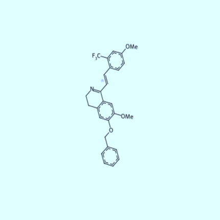 COc1ccc(/C=C/C2=NCCc3cc(OCc4ccccc4)c(OC)cc32)c(C(F)(F)F)c1